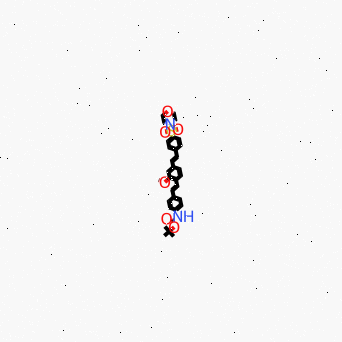 COc1cc(C=Cc2ccc(S(=O)(=O)N3CCOCC3)cc2)ccc1C=Cc1ccc(NC(=O)OC(C)(C)C)cc1